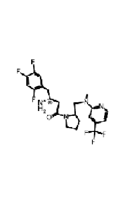 CN(CC1CCCN1C(=O)C[C@H](N)Cc1cc(F)c(F)cc1F)c1cc(C(F)(F)F)ccn1